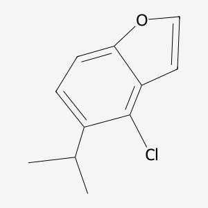 CC(C)c1ccc2occc2c1Cl